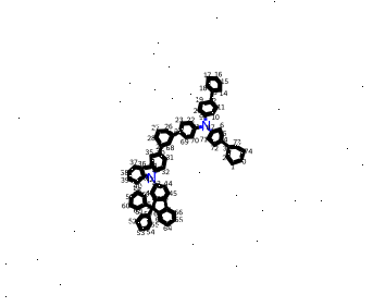 c1ccc(-c2ccc(N(c3ccc(-c4ccccc4)cc3)c3ccc(-c4cccc(-c5ccc6c(c5)c5ccccc5n6-c5ccc6c(c5)C(c5ccccc5)(c5ccccc5)c5ccccc5-6)c4)cc3)cc2)cc1